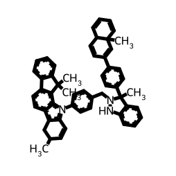 CC1C=Cc2c(c3ccc4c(c3n2-c2ccc(CN3Nc5ccccc5C3(C)c3ccc(C5=CC6(C)C=CC=CC6C=C5)cc3)cc2)C(C)(C)c2ccccc2-4)C1